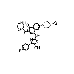 CC(C1CNCCO1)n1cc(N(C)c2nc(-c3ccc(F)cc3)c(C#N)s2)c2cc(N3CCN(C4CC4)CC3)ccc2c1=O